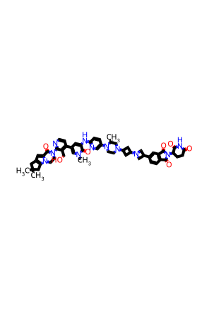 C[C@H]1CN(C2CC(N3CC(c4ccc5c(c4)C(=O)N(C4CCC(=O)NC4=O)C5=O)C3)C2)CCN1c1ccc(Nc2cc(-c3ccnc(N4CCn5c(cc6c5CC(C)(C)C6)C4=O)c3CO)cn(C)c2=O)nc1